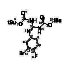 CC(C)(C)OC(=O)NC(=Nc1ccc(F)c(Br)c1)NC(=O)OC(C)(C)C